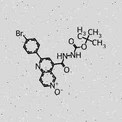 CC(C)(C)OC(=O)NNC(=O)c1cc(-c2ccc(Br)cc2)nc2cc[n+]([O-])cc12